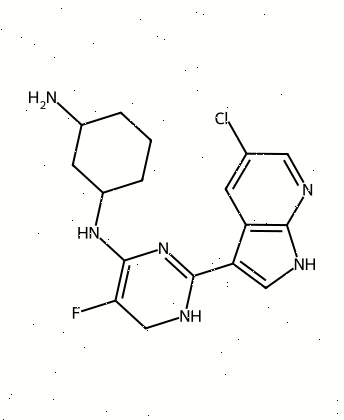 NC1CCCC(NC2=C(F)CNC(c3c[nH]c4ncc(Cl)cc34)=N2)C1